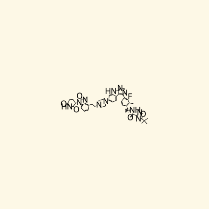 Cc1c([C@@H](C)NC(=O)c2noc(C(C)(C)C)n2)ccc(-c2ncnc3[nH]c4cc(N5CCN(CCc6cccc7c6n(C)c(=O)n7C6CCC(=O)NC6=O)CC5)ccc4c23)c1F